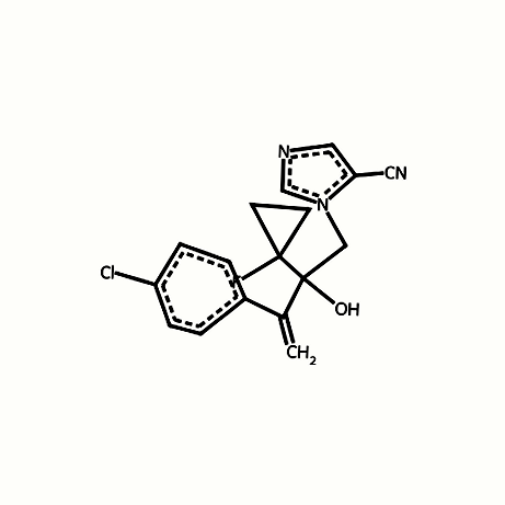 C=C(c1ccc(Cl)cc1)C(O)(Cn1cncc1C#N)C1(F)CC1